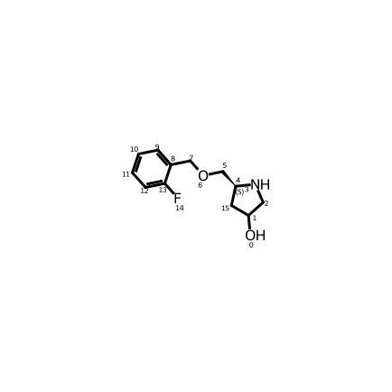 OC1CN[C@H](COCc2ccccc2F)C1